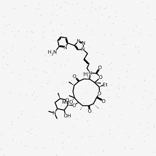 CC[C@H]1OC(=O)[C@H](C)C(=O)[C@H](C)[C@@H](O[C@@H]2O[C@H](C)CC(N(C)C)C2O)[C@](C)(OC)C[C@@H](C)C(=O)[C@H](C)[C@H]2N(C/C=C/Cn3cc(-c4cccc(N)n4)nn3)C(=O)O[C@]12C